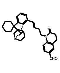 O=Cc1ccc2c(c1)CCC(=O)N2CC/C=C/c1cccc(C2([C@@H]3CN4CCC3CC4)CCCCC2)c1